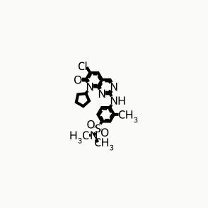 Cc1cc(S(=O)(=O)N(C)C)ccc1Nc1ncc2cc(Cl)c(=O)n(C3CCCC3)c2n1